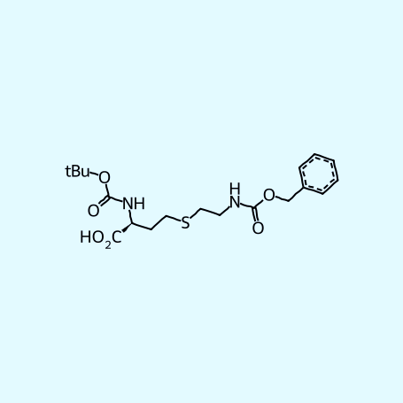 CC(C)(C)OC(=O)N[C@@H](CCSCCNC(=O)OCc1ccccc1)C(=O)O